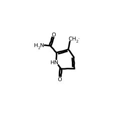 [CH2]c1ccc(=O)[nH]c1C(N)=O